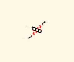 CCCCOC(=O)Oc1c2ccccc2c(OC(=O)OCCCC)c2cc(C)ccc12